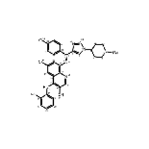 CC(C)(C)N1CCC(n2cc([C@@H](Nc3cc(Cl)cc4c(Nc5ccccc5F)c(C#N)cnc34)c3ccc(Cl)cc3)nn2)CC1